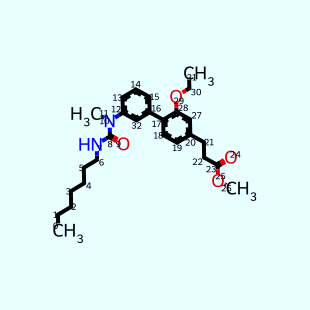 CCCCCCCNC(=O)N(C)c1cccc(-c2ccc(CCC(=O)OC)cc2OCC)c1